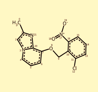 Cc1cn2cccc(OCc3c(Cl)cccc3[N+](=O)[O-])c2n1